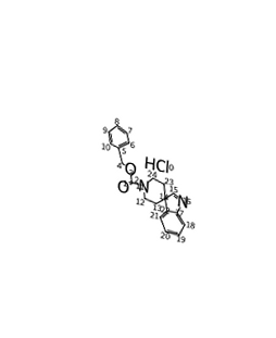 Cl.O=C(OCc1ccccc1)N1CCC2(C=Nc3ccccc32)CC1